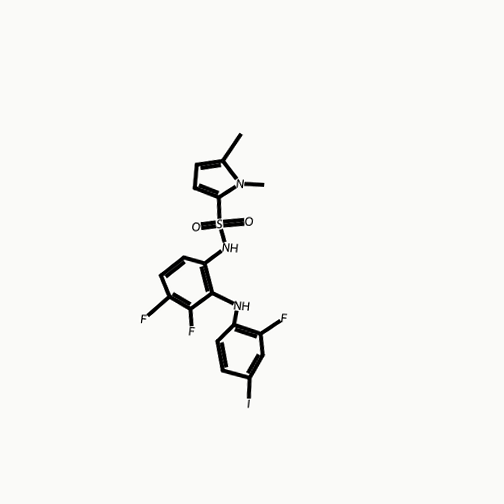 Cc1ccc(S(=O)(=O)Nc2ccc(F)c(F)c2Nc2ccc(I)cc2F)n1C